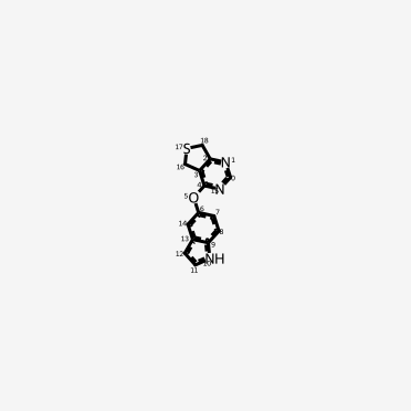 c1nc2c(c(Oc3ccc4[nH]ccc4c3)n1)CSC2